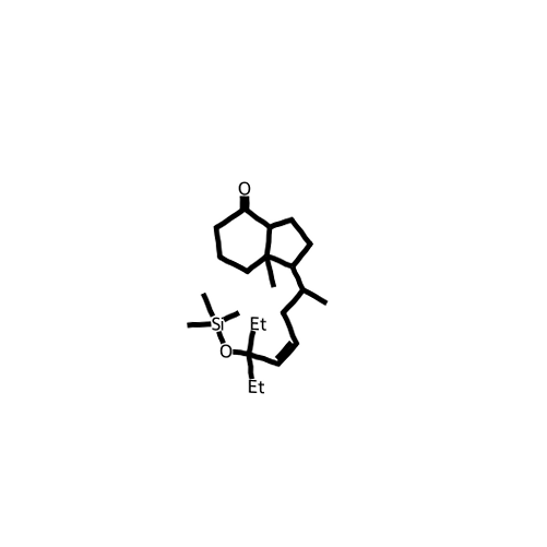 CCC(/C=C\CC(C)C1CCC2C(=O)CCCC21C)(CC)O[Si](C)(C)C